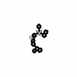 c1ccc(-c2nc(-c3ccc4oc5cc6ccc(-c7cc8ccccc8c8ccccc78)cc6cc5c4c3)nc(-c3cccc4ccccc34)n2)cc1